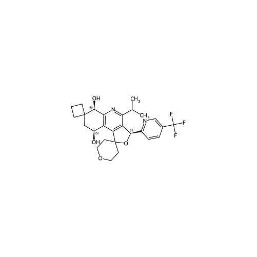 CC(C)c1nc2c(c3c1[C@@H](c1ccc(C(F)(F)F)cn1)OC31CCOCC1)[C@@H](O)CC1(CCC1)[C@H]2O